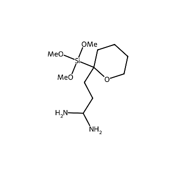 CO[Si](OC)(OC)C1(CCC(N)N)CCCCO1